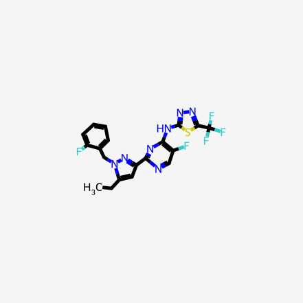 CCc1cc(-c2ncc(F)c(Nc3nnc(C(F)(F)F)s3)n2)nn1Cc1ccccc1F